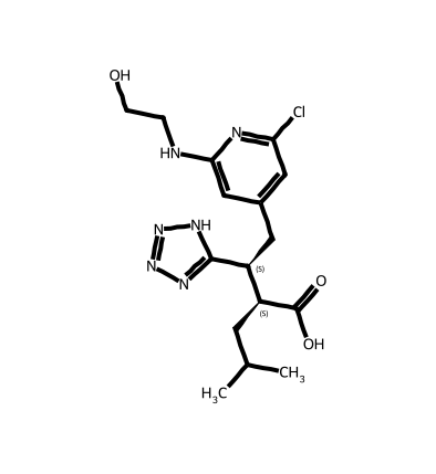 CC(C)C[C@H](C(=O)O)[C@H](Cc1cc(Cl)nc(NCCO)c1)c1nnn[nH]1